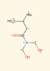 CCCCC(CC(=O)N(CO)CO)C(=O)O